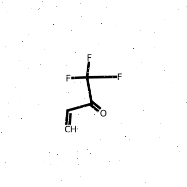 [CH]=CC(=O)C(F)(F)F